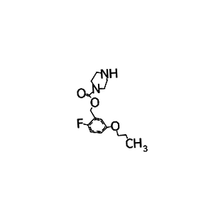 CCCOc1ccc(F)c(COC(=O)N2CCNCC2)c1